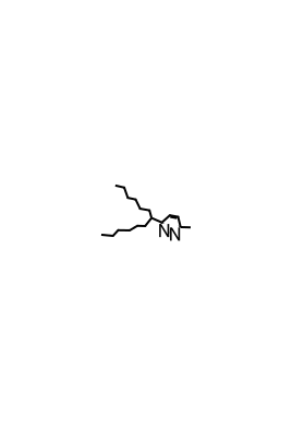 CCCCCCC(CCCCCC)c1ccc(C)nn1